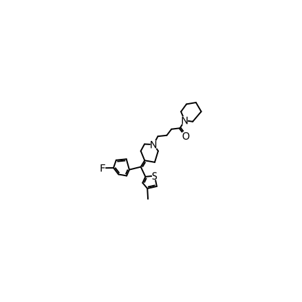 Cc1csc(C(=C2CCN(CCCC(=O)N3CCCCC3)CC2)c2ccc(F)cc2)c1